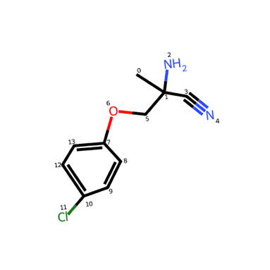 CC(N)(C#N)COc1ccc(Cl)cc1